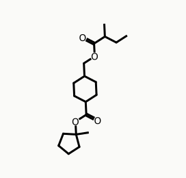 CCC(C)C(=O)OCC1CCC(C(=O)OC2(C)CCCC2)CC1